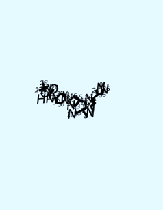 Cn1cc(-c2cn3ncc(C#N)c3c(-c3ccc(N4CCC(NC(=O)OC(C)(C)C)CC4)nc3)n2)cn1